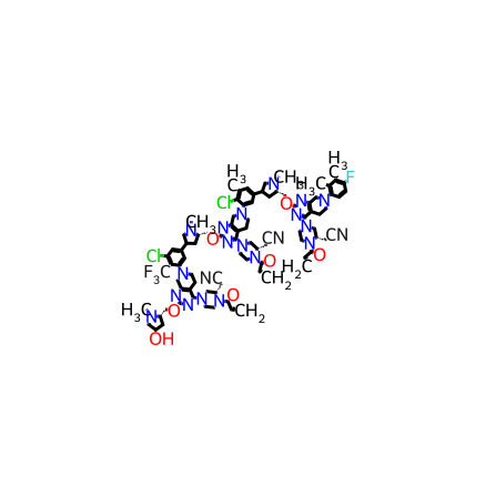 C=CC(=O)N1CCN(c2nc(OC[C@@H]3CC(c4cc(C)c(Cl)c(N5CCc6c(nc(OC[C@@H]7CC(c8cc(Cl)c(C(F)(F)F)c(N9CCc%10c(nc(OC[C@@H]%11C[C@@H](O)CN%11C)nc%10N%10CCN(C(=O)C=C)[C@@H](CC#N)C%10)C9)c8)CN7C)nc6N6CCN(C(=O)C=C)[C@@H](CC#N)C6)C5)c4)CN3C)nc3c2CCN(c2ccc(F)c(C)c2C)C3)C[C@@H]1CC#N